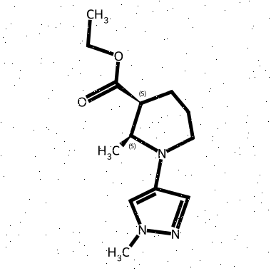 CCOC(=O)[C@H]1CCCN(c2cnn(C)c2)[C@H]1C